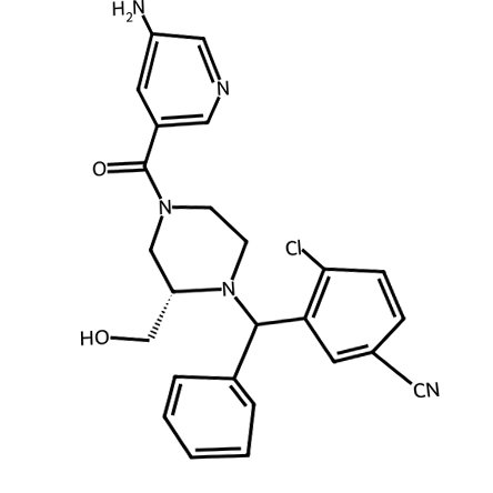 N#Cc1ccc(Cl)c(C(c2ccccc2)N2CCN(C(=O)c3cncc(N)c3)C[C@H]2CO)c1